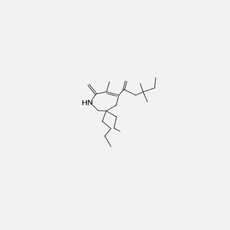 C=C(CC(C)(C)CC)C1=C(C)C(=C)NCC(CCC)(CCCC)C1